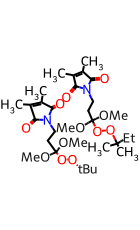 CCC(C)(C)OOC(CCN1C(=O)C(C)=C(C)C1=O)(OC)OC.COC(CCN1C(=O)C(C)=C(C)C1=O)(OC)OOC(C)(C)C